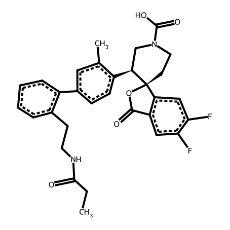 CCC(=O)NCCc1ccccc1-c1ccc([C@H]2CN(C(=O)O)CC[C@@]23OC(=O)c2cc(F)c(F)cc23)c(C)c1